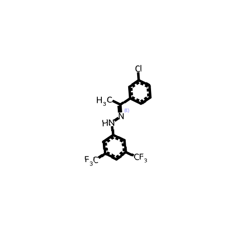 C/C(=N\Nc1cc(C(F)(F)F)cc(C(F)(F)F)c1)c1cccc(Cl)c1